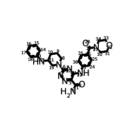 NC(=O)c1nnc(N2CCCC(Nc3ccccc3)C2)nc1Nc1ccc(C(=O)N2CCOCC2)cc1